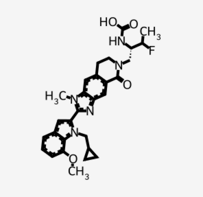 COc1cccc2cc(-c3nc4cc5c(cc4n3C)CCN(C[C@H](NC(=O)O)C(C)F)C5=O)n(CC3CC3)c12